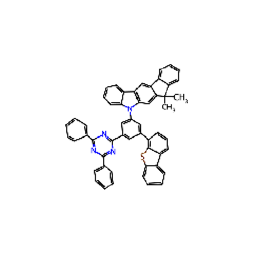 CC1(C)c2ccccc2-c2cc3c4ccccc4n(-c4cc(-c5nc(-c6ccccc6)nc(-c6ccccc6)n5)cc(-c5cccc6c5sc5ccccc56)c4)c3cc21